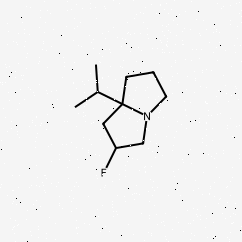 CC(C)C12CCCN1CC(F)C2